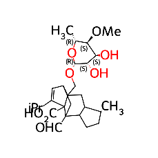 CO[C@H]1[C@@H](O)[C@H](O)[C@H](OCC23CC4C(C)CCC4C4(C=O)CC2C=C(C(C)C)C43C(=O)O)O[C@@H]1C